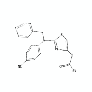 CCC(=O)Oc1csc(N(Cc2ccccc2)c2ccc(C#N)cc2)n1